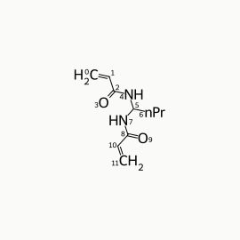 C=CC(=O)NC(CCC)NC(=O)C=C